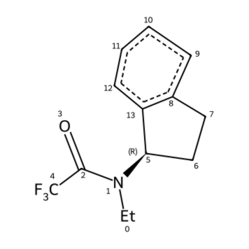 CCN(C(=O)C(F)(F)F)[C@@H]1CCc2ccccc21